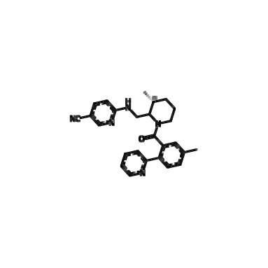 Cc1ccc(-c2ccccn2)c(C(=O)N2CCC[C@@H](C)C2CNc2ccc(C#N)cn2)c1